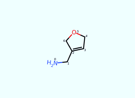 NCC1=CCOC1